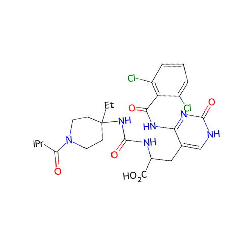 CCC1(NC(=O)NC(Cc2c[nH]c(=O)nc2NC(=O)c2c(Cl)cccc2Cl)C(=O)O)CCN(C(=O)C(C)C)CC1